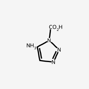 N.O=C(O)n1ccnn1